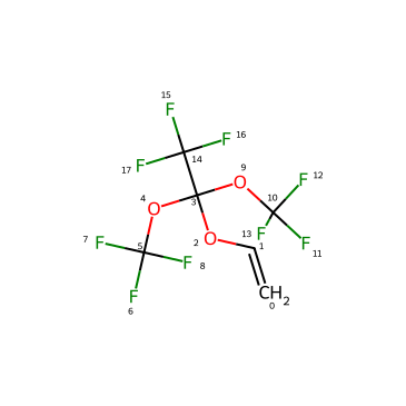 C=COC(OC(F)(F)F)(OC(F)(F)F)C(F)(F)F